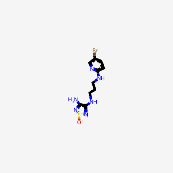 Nc1n[s+]([O-])nc1NCCCNc1ccc(Br)cn1